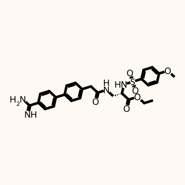 CCOC(=O)[C@H](CNC(=O)Cc1ccc(-c2ccc(C(=N)N)cc2)cc1)NS(=O)(=O)c1ccc(OC)cc1